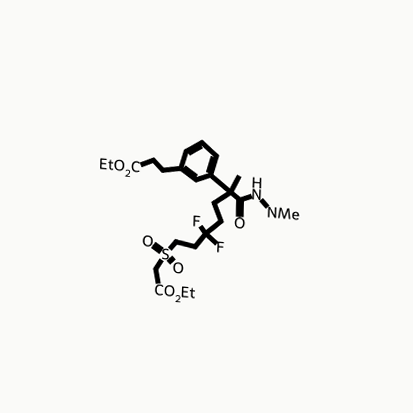 CCOC(=O)CCc1cccc(C(C)(CCC(F)(F)CCS(=O)(=O)CC(=O)OCC)C(=O)NNC)c1